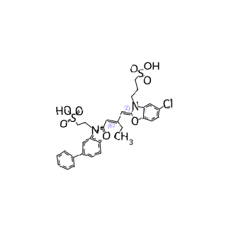 CCC(/C=C1\Oc2ccc(Cl)cc2N1CCCS(=O)(=O)O)=C\c1oc2ccc(-c3ccccc3)cc2[n+]1CCS(=O)(=O)O